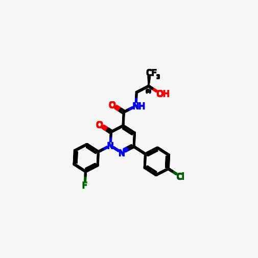 O=C(NC[C@H](O)C(F)(F)F)c1cc(-c2ccc(Cl)cc2)nn(-c2cccc(F)c2)c1=O